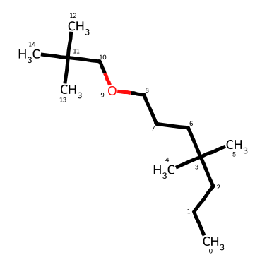 CCCC(C)(C)CCCOCC(C)(C)C